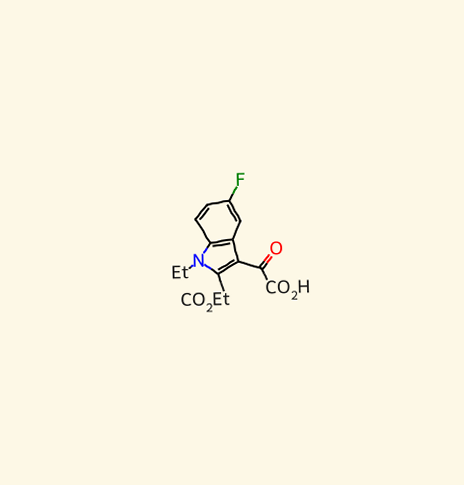 CCOC(=O)c1c(C(=O)C(=O)O)c2cc(F)ccc2n1CC